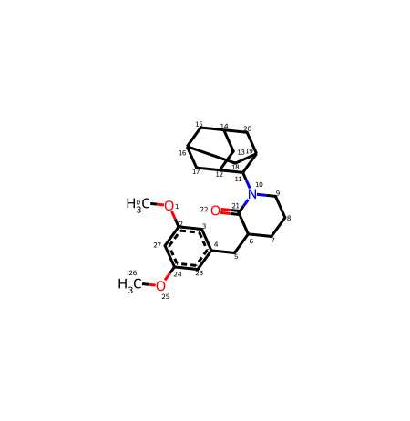 COc1cc(CC2CCCN(C3C4CC5CC(C4)CC3C5)C2=O)cc(OC)c1